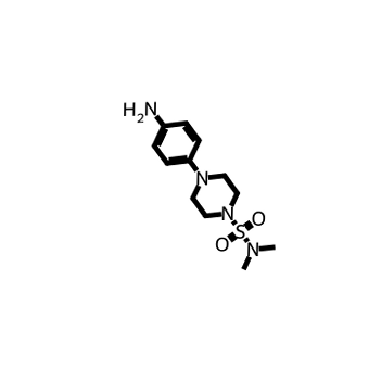 CN(C)S(=O)(=O)N1CCN(c2ccc(N)cc2)CC1